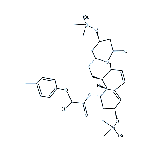 CCC(Oc1ccc(C)cc1)C(=O)O[C@H]1C[C@H](O[Si](C)(C)C(C)(C)C)C=C2C=C[C@H](C)[C@H](CC[C@@H]3C[C@@H](O[Si](C)(C)C(C)(C)C)CC(=O)O3)[C@H]21